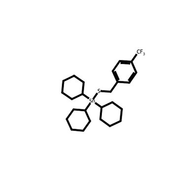 FC(F)(F)c1ccc(C[S][Sn]([CH]2CCCCC2)([CH]2CCCCC2)[CH]2CCCCC2)cc1